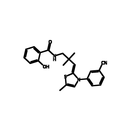 CC1=CN(c2cccc(C#N)c2)C(=CC(C)(C)CNC(=O)c2ccccc2O)S1